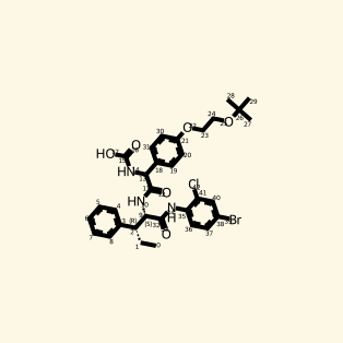 CC[C@H](c1ccccc1)[C@H](NC(=O)C(NC(=O)O)c1ccc(OCCOC(C)(C)C)cc1)C(=O)Nc1ccc(Br)cc1Cl